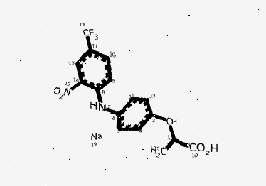 CC(Oc1ccc(Nc2ccc(C(F)(F)F)cc2[N+](=O)[O-])cc1)C(=O)O.[Na]